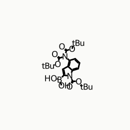 CC(C)(C)OC(=O)N(C(=O)OC(C)(C)C)c1cccc2c1cc(B(O)O)n2C(=O)OC(C)(C)C